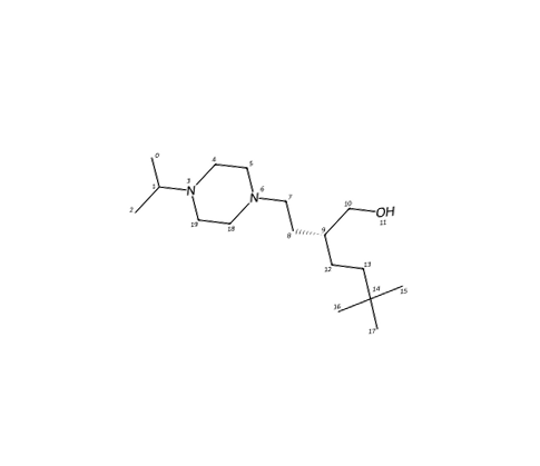 CC(C)N1CCN(CC[C@H](CO)CCC(C)(C)C)CC1